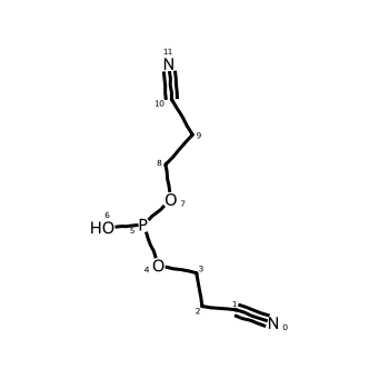 N#CCCOP(O)OCCC#N